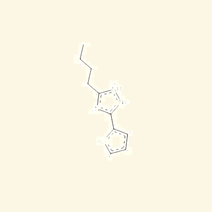 CCCCc1nc(-c2ccco2)n[nH]1